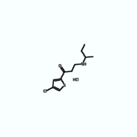 CCC(C)NCCC(=O)c1cc(Cl)cs1.Cl